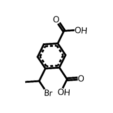 CC(Br)c1ccc(C(=O)O)cc1C(=O)O